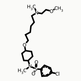 COCCN(C)CCCCCCOC1CCC(N(C)S(=O)(=O)c2ccc(Cl)cc2)CC1